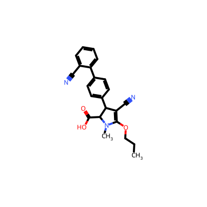 CCCOC1=C(C#N)C(c2ccc(-c3ccccc3C#N)cc2)C(C(=O)O)N1C